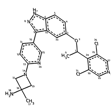 CC(Oc1ccc2[nH]nc(-c3ccc(N4CC(C)(N)C4)nc3)c2c1)c1c(Cl)cncc1Cl